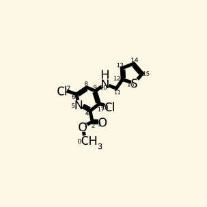 COC(=O)c1nc(Cl)cc(NCc2cccs2)c1Cl